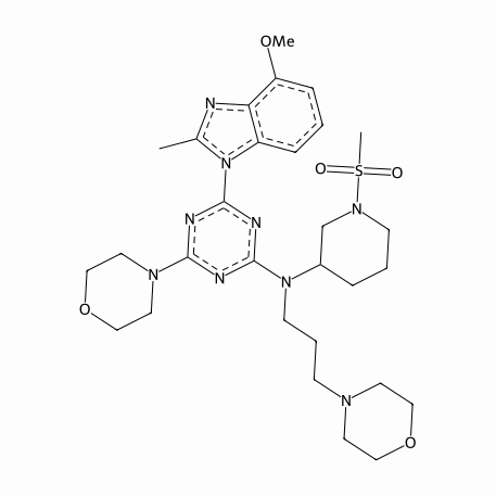 COc1cccc2c1nc(C)n2-c1nc(N2CCOCC2)nc(N(CCCN2CCOCC2)C2CCCN(S(C)(=O)=O)C2)n1